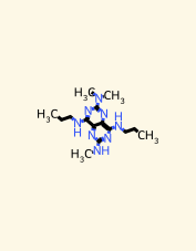 CCCNc1nc(N(C)C)nc2c(NCCC)nc(NC)nc12